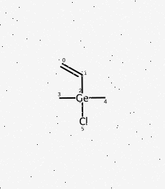 C=[CH][Ge]([CH3])([CH3])[Cl]